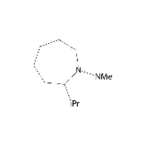 CNN1CCCCCC1C(C)C